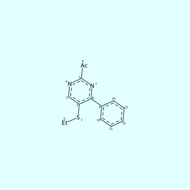 CCSc1cnc(C(C)=O)nc1-c1ccccc1